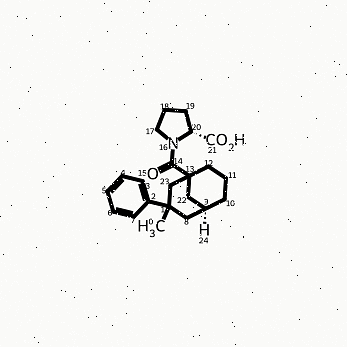 CC1(c2ccccc2)C[C@@H]2CCCC(C(=O)N3CCC[C@@H]3C(=O)O)(C2)C1